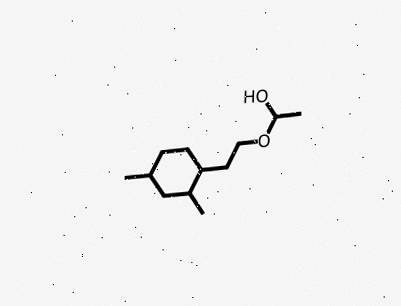 CC1CCC(CCOC(C)O)C(C)C1